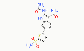 NC(=O)Nc1[nH]c2cc(-c3ccc(S(N)(=O)=O)s3)ccc2c1C(N)=O